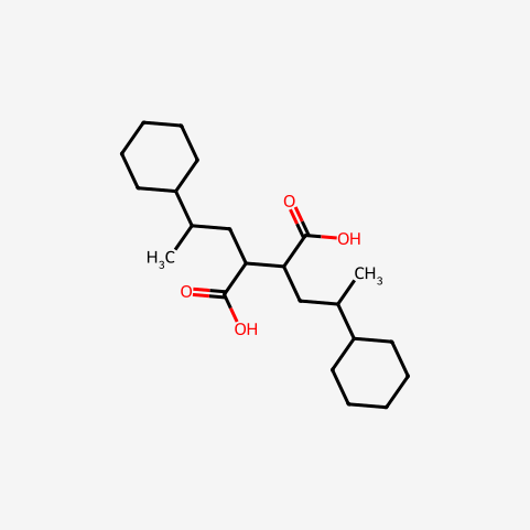 CC(CC(C(=O)O)C(CC(C)C1CCCCC1)C(=O)O)C1CCCCC1